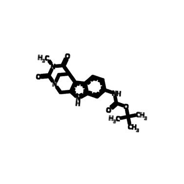 CN1C(=O)C2CN(Cc3[nH]c4cc(NC(=O)OC(C)(C)C)ccc4c32)C1=O